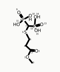 COC(=O)CCSC(P(=O)(O)O)P(=O)(O)O